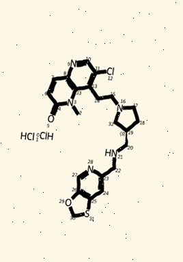 Cl.Cl.Cn1c(=O)ccc2ncc(Cl)c(CCN3CC[C@@H](CNCc4cc5c(cn4)OCS5)C3)c21